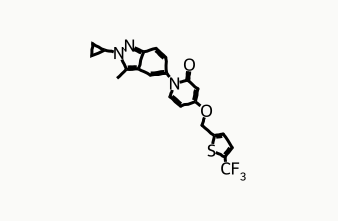 Cc1c2cc(-n3ccc(OCc4ccc(C(F)(F)F)s4)cc3=O)ccc2nn1C1CC1